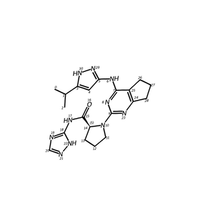 CC(C)c1cc(Nc2nc(N3CCC[C@H]3C(=O)Nc3ncn[nH]3)nc3c2CCC3)n[nH]1